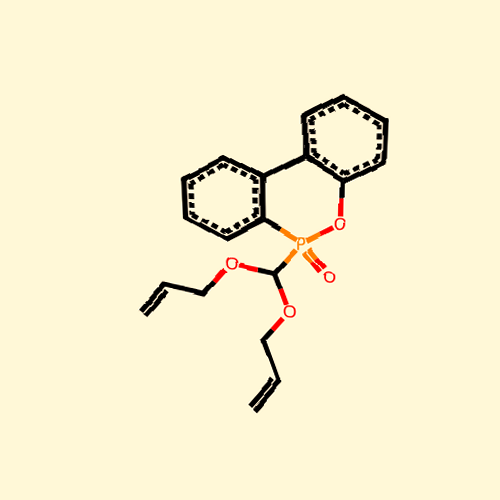 C=CCOC(OCC=C)P1(=O)Oc2ccccc2-c2ccccc21